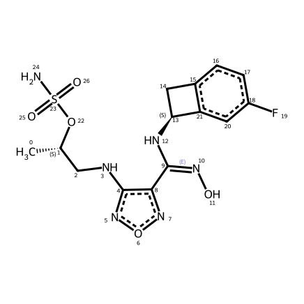 C[C@@H](CNc1nonc1/C(=N\O)N[C@H]1Cc2ccc(F)cc21)OS(N)(=O)=O